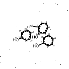 CCCc1ccccc1O.Oc1ccccc1.Oc1ccccc1